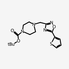 CC(C)(C)OC(=O)N1CCN(Cc2noc(-c3cccs3)n2)CC1